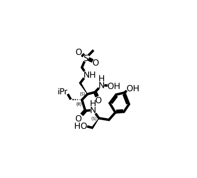 CC(C)C[C@@H](C(=O)N[C@H](CO)Cc1ccc(O)cc1)[C@@H](CNCS(C)(=O)=O)C(=O)NO